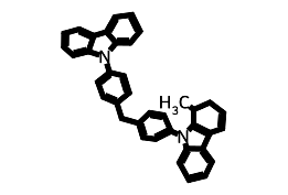 CC1CC=Cc2c1n(-c1ccc(Cc3ccc(-n4c5ccccc5c5ccccc54)cc3)cc1)c1ccccc21